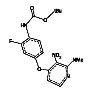 CNc1nccc(Oc2ccc(NC(=O)OC(C)(C)C)c(F)c2)c1[N+](=O)[O-]